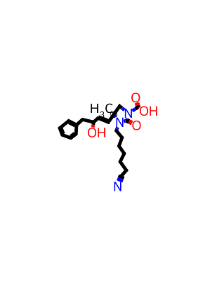 C[C@]1(C=CC(O)Cc2ccccc2)CN(C(=O)O)C(=O)N1CCCCCCC#N